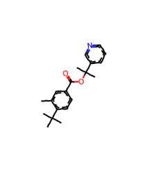 Cc1cc(C(=O)OC(C)(C)c2cccnc2)ccc1C(C)(C)C